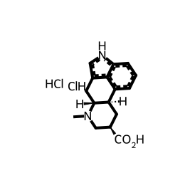 CN1C[C@H](C(=O)O)C[C@@H]2c3cccc4[nH]cc(c34)C[C@H]21.Cl.Cl